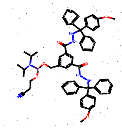 COc1ccc(C(NNC(=O)c2cc(COP(OCCC#N)N(C(C)C)C(C)C)cc(C(=O)NNC(c3ccccc3)(c3ccccc3)c3ccc(OC)cc3)c2)(c2ccccc2)c2ccccc2)cc1